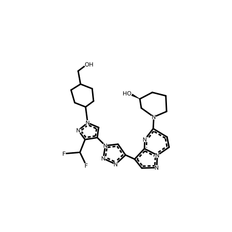 OCC1CCC(n2cc(-n3cc(-c4cnn5ccc(N6CCC[C@H](O)C6)nc45)nn3)c(C(F)F)n2)CC1